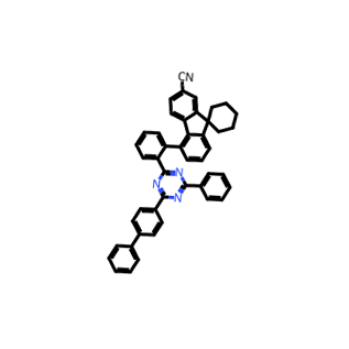 N#Cc1ccc2c(c1)C1(CCCCC1)c1cccc(-c3ccccc3-c3nc(-c4ccccc4)nc(-c4ccc(-c5ccccc5)cc4)n3)c1-2